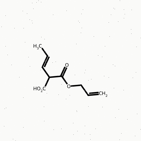 C=CCOC(=O)C(/C=C/C)C(=O)O